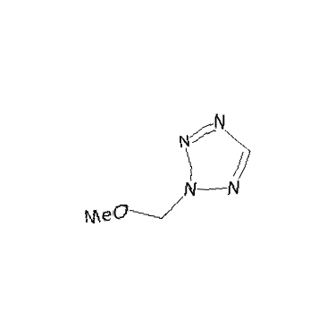 COCn1ncnn1